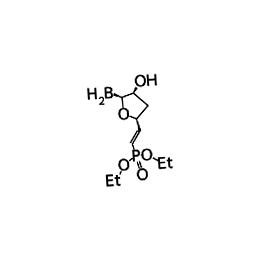 B[C@@H]1O[C@H](/C=C/P(=O)(OCC)OCC)C[C@@H]1O